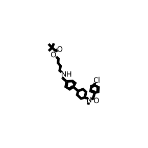 CN(C(=O)c1ccc(Cl)cc1)C1CCC(c2ccc(CNCCCCOC(=O)C(C)(C)C)cc2)CC1